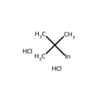 C[C](C)(C)[In].Cl.Cl